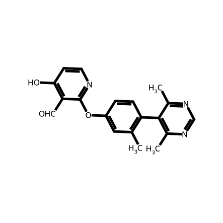 Cc1cc(Oc2nccc(O)c2C=O)ccc1-c1c(C)ncnc1C